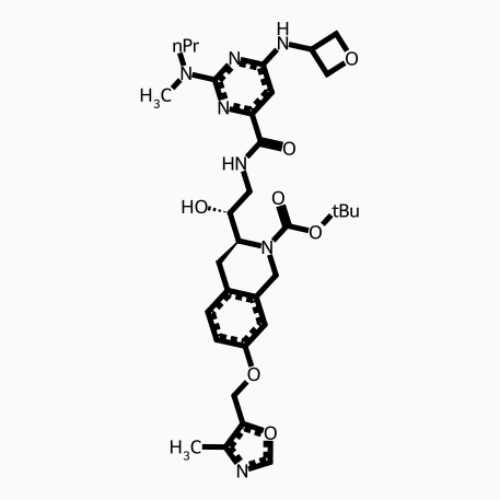 CCCN(C)c1nc(NC2COC2)cc(C(=O)NC[C@@H](O)[C@@H]2Cc3ccc(OCc4ocnc4C)cc3CN2C(=O)OC(C)(C)C)n1